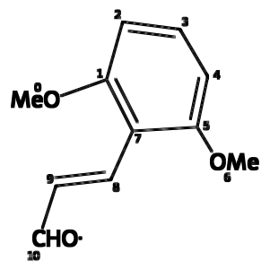 COc1cccc(OC)c1/C=C/[C]=O